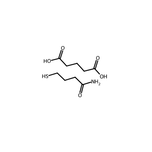 NC(=O)CCCS.O=C(O)CCCC(=O)O